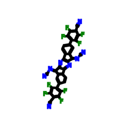 N#C/N=c1\c2cc(-c3c(F)c(F)c(C#N)c(F)c3F)ccc2c2nc3/c(=N/C#N)c4cc(-c5c(F)c(F)c(C#N)c(F)c5F)ccc4c3nc12